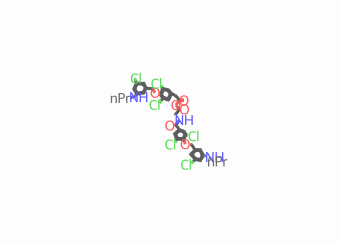 CCCNc1cc(Cl)cc(COc2c(Cl)cc(CC(=O)OC(=O)CNC(=O)c3cc(Cl)c(OCc4cc(Cl)cc(NCCC)c4)c(Cl)c3)cc2Cl)c1